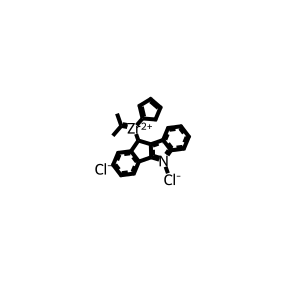 C[C](C)=[Zr+2]([C]1=CC=CC1)[CH]1c2ccccc2-c2c1c1ccccc1n2C.[Cl-].[Cl-]